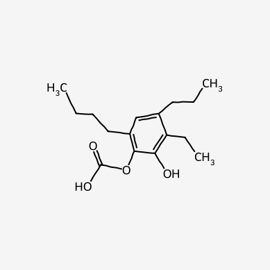 CCCCc1cc(CCC)c(CC)c(O)c1OC(=O)O